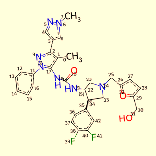 Cc1c(-c2cnn(C)c2)nn(-c2ccccc2)c1NC(=O)N[C@@H]1CN(Cc2ccc(CO)o2)C[C@H]1c1ccc(F)c(F)c1